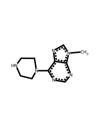 Cn1cnc2c(N3CCNCC3)ncnc21